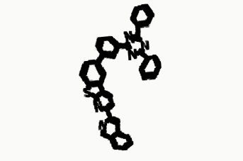 c1ccc(-c2nc(-c3ccccc3)nc(-c3cccc(-c4ccc5sc6nc(-c7cc8ccccc8cn7)ccc6c5c4)c3)n2)cc1